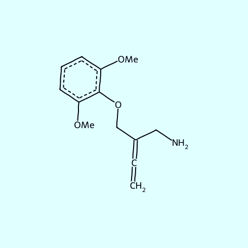 C=C=C(CN)COc1c(OC)cccc1OC